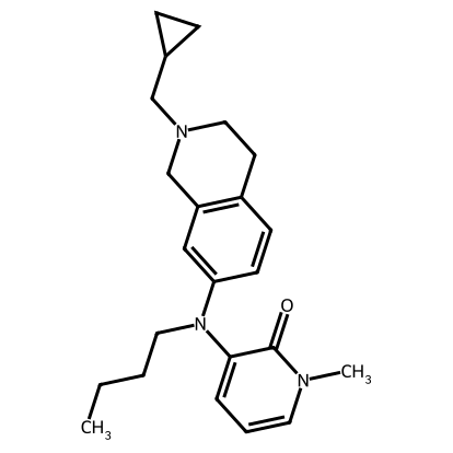 CCCCN(c1ccc2c(c1)CN(CC1CC1)CC2)c1cccn(C)c1=O